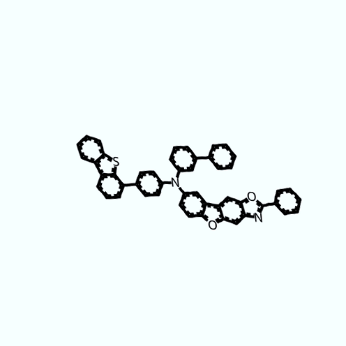 c1ccc(-c2cccc(N(c3ccc(-c4cccc5c4sc4ccccc45)cc3)c3ccc4oc5cc6nc(-c7ccccc7)oc6cc5c4c3)c2)cc1